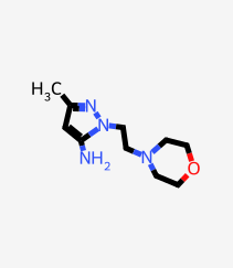 Cc1cc(N)n(CCN2CCOCC2)n1